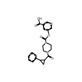 O=C(O)c1cncc(OC(=O)N2CCN(C(=O)C3CC3c3ccccc3)CC2)c1